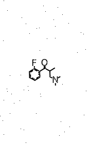 CC(CN(C)C)C(=O)c1ccccc1F